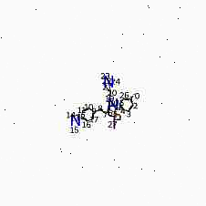 Cc1ccc2s[c+](C=Cc3ccc(N(C)C)cc3)n(CCCN(C)C)c2c1.[I-]